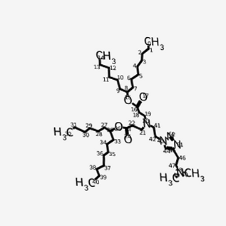 CCCCCCCCC(CCCCCC)OC(=O)CCN(CCC(=O)OC(CCCCCC)CCCCCCCC)CCn1cc(CCN(C)C)nn1